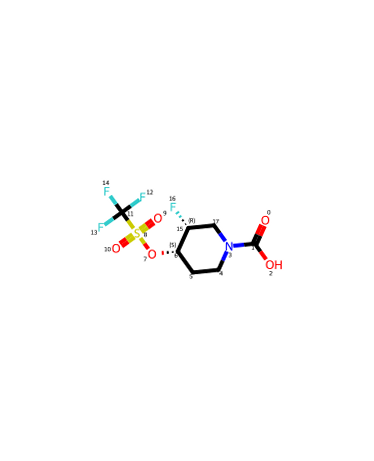 O=C(O)N1CC[C@H](OS(=O)(=O)C(F)(F)F)[C@H](F)C1